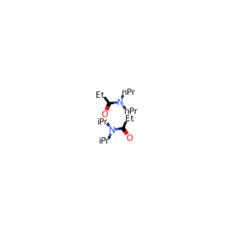 CCC(=O)N(C(C)C)C(C)C.CCCN(CCC)C(=O)CC